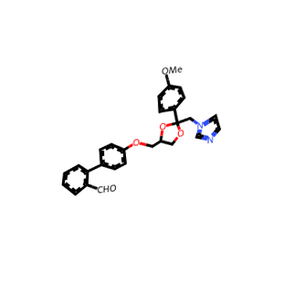 COc1ccc(C2(Cn3ccnc3)OCC(COc3ccc(-c4ccccc4C=O)cc3)O2)cc1